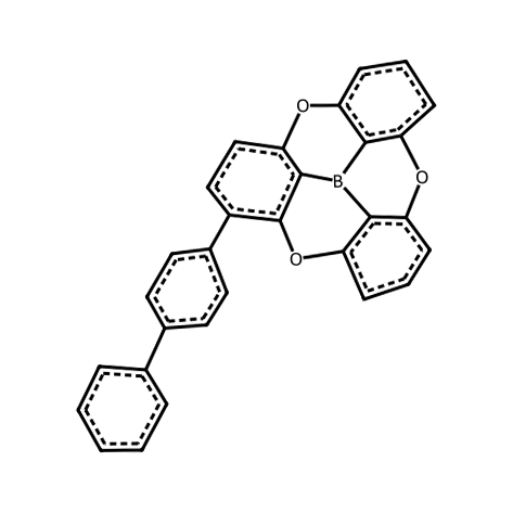 c1ccc(-c2ccc(-c3ccc4c5c3Oc3cccc6c3B5c3c(cccc3O4)O6)cc2)cc1